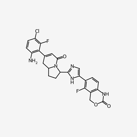 Nc1ccc(Cl)c(F)c1C1=CC(=O)N2C(CCC2c2ncc(-c3ccc4c(c3F)COC(=O)N4)[nH]2)C1